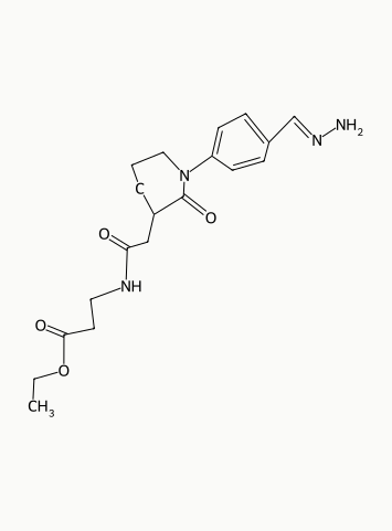 CCOC(=O)CCNC(=O)CC1CCCN(c2ccc(C=NN)cc2)C1=O